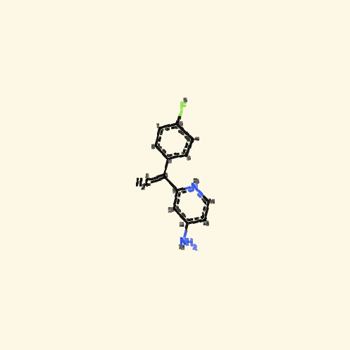 C=C(c1ccc(F)cc1)c1cc(N)ccn1